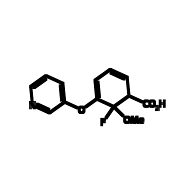 COC1(F)C(Oc2cccnc2)=CC=CC1C(=O)O